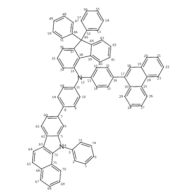 c1ccc(-n2c3cc(-c4ccc(N(c5ccc(-c6cc7ccccc7c7ccccc67)cc5)c5cccc6c5-c5ccccc5C6(c5ccccc5)c5ccccc5)cc4)ccc3c3ccc4ccccc4c32)cc1